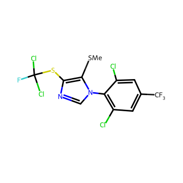 CSc1c(SC(F)(Cl)Cl)ncn1-c1c(Cl)cc(C(F)(F)F)cc1Cl